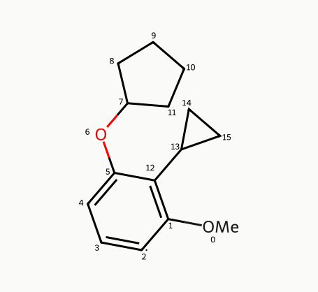 COc1[c]ccc(OC2CCCC2)c1C1CC1